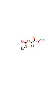 CCCCOC(=O)C(Cl)OC(=O)SCC